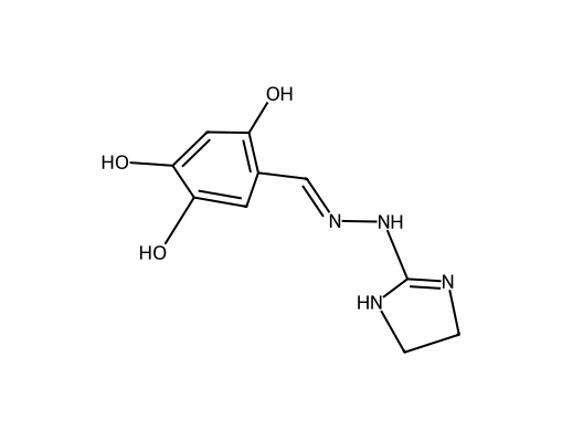 Oc1cc(O)c(/C=N/NC2=NCCN2)cc1O